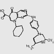 CC1CN(c2ccc(Nc3ncc4c(=O)c(C(=O)O)cn(C5CCCCC5)c4n3)cc2)CC(C)N1